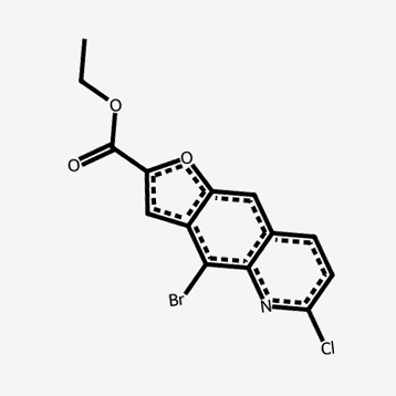 CCOC(=O)c1cc2c(Br)c3nc(Cl)ccc3cc2o1